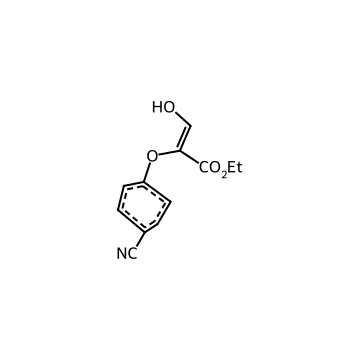 CCOC(=O)/C(=C/O)Oc1ccc(C#N)cc1